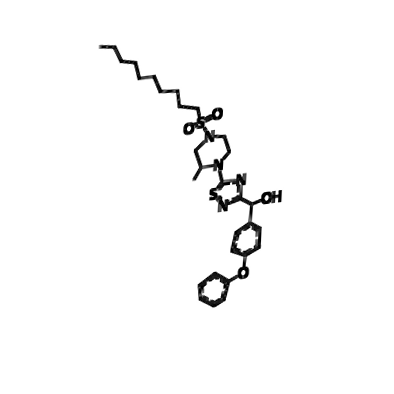 CCCCCCCCCCS(=O)(=O)N1CCN(c2nc(C(O)c3ccc(Oc4ccccc4)cc3)ns2)C(C)C1